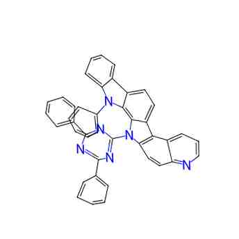 c1ccc(-c2nc(-c3ccccc3)nc(-n3c4ccc5ncccc5c4c4ccc5c6ccccc6n(-c6ccccc6)c5c43)n2)cc1